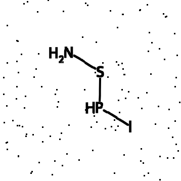 NSPI